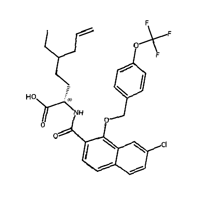 C=CCC(CC)CC[C@H](NC(=O)c1ccc2ccc(Cl)cc2c1OCc1ccc(OC(F)(F)F)cc1)C(=O)O